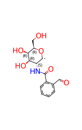 O=Cc1ccccc1C(=O)N[C@H]1[CH]O[C@H](CO)[C@H](O)[C@@H]1O